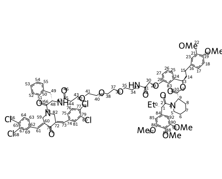 CC[C@H](C(=O)N1CCCC[C@H]1C(=O)O[C@H](CCc1ccc(OC)c(OC)c1)c1cccc(OCC(=O)NCCOCCOCCOCCC(=O)N[C@@H](Cc2ccccc2)C(=O)N2C/C(=C\c3ccc(Cl)c(Cl)c3)C(=O)/C(=C/c3ccc(Cl)c(Cl)c3)C2)c1)c1cc(OC)c(OC)c(OC)c1